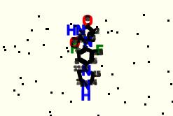 O=C1CCN(c2c(F)cc(N3CCNCC3)cc2F)C(=O)N1